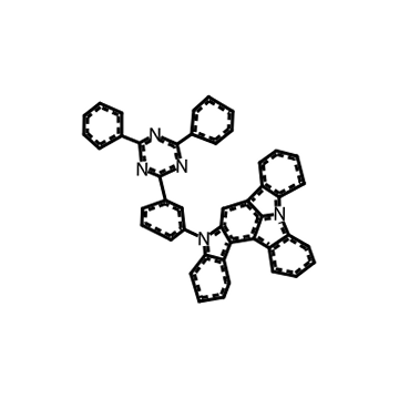 c1ccc(-c2nc(-c3ccccc3)nc(-c3cccc(-n4c5ccccc5c5c6c7ccccc7n7c8ccccc8c(cc54)c67)c3)n2)cc1